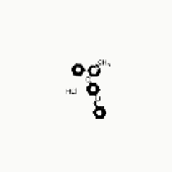 CN1CC[C@@H](Oc2ccc(OCc3ccccc3)cc2)[C@H](c2ccccc2)C1.Cl